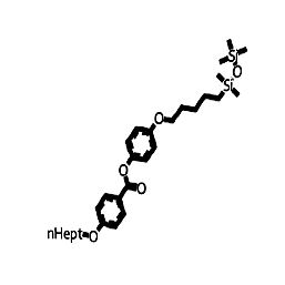 CCCCCCCOc1ccc(C(=O)Oc2ccc(OCCCCC[Si](C)(C)O[Si](C)(C)C)cc2)cc1